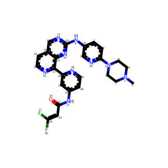 CN1CCN(c2ccc(Nc3ncc4ccnc(-c5cc(NC(=O)C=C(F)F)ccn5)c4n3)cn2)CC1